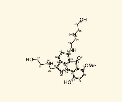 COc1ccc(O)c2c1c(=O)c1c(NCCNCCO)ccc3c(CNCCO)nn2c31